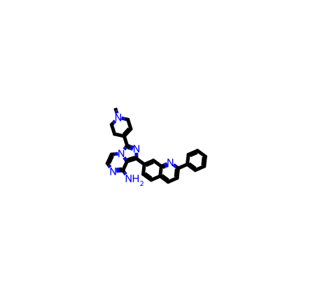 CN1CC=C(c2nc(-c3ccc4ccc(-c5ccccc5)nc4c3)c3c(N)nccn23)CC1